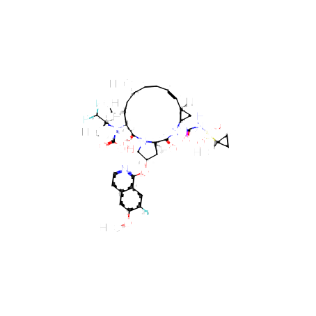 CC[C@@H]1C[C@H](C)CCC=C[C@@H]2C[C@@]2(C(=O)NS(=O)(=O)C2(C)CC2)NC(=O)[C@@H]2C[C@@H](Oc3nccc4cc(OC)c(F)cc34)CN2C(=O)[C@H]1N(C(=O)O)C(C)(C)C(F)F